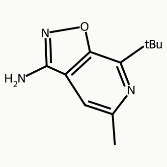 Cc1cc2c(N)noc2c(C(C)(C)C)n1